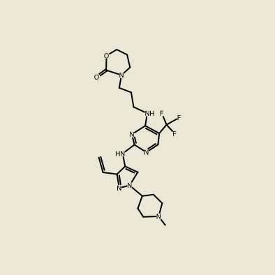 C=Cc1nn(C2CCN(C)CC2)cc1Nc1ncc(C(F)(F)F)c(NCCCN2CCCOC2=O)n1